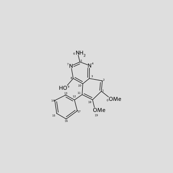 COc1cc2nc(N)nc(O)c2c(-c2ccccc2)c1OC